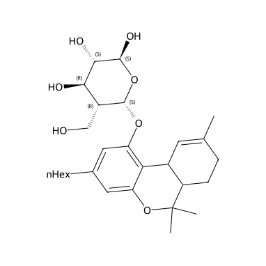 CCCCCCc1cc(O[C@H]2O[C@H](O)[C@@H](O)[C@H](O)[C@H]2CO)c2c(c1)OC(C)(C)C1CCC(C)=CC21